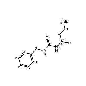 CC[C@@H](C)CC[C@@H](C)NC(=O)OCc1ccccc1